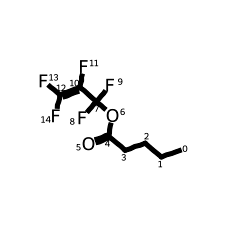 CCCCC(=O)OC(F)(F)C(F)=C(F)F